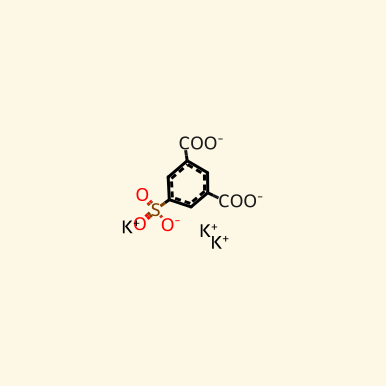 O=C([O-])c1cc(C(=O)[O-])cc(S(=O)(=O)[O-])c1.[K+].[K+].[K+]